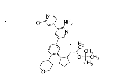 C=C(CC1CCC[C@H]1c1cc(-c2cnc(N)c(-c3ccnc(Cl)c3)c2)ccc1C1CCOCC1)OC(C)(C)C